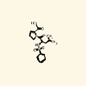 CC(C)CC(NS(=O)(=O)c1ccccc1)C(=O)N1CCC[C@H]1C(=O)O